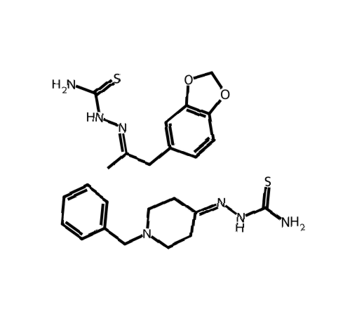 CC(Cc1ccc2c(c1)OCO2)=NNC(N)=S.NC(=S)NN=C1CCN(Cc2ccccc2)CC1